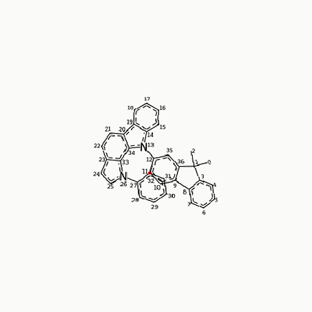 CC1(C)c2ccccc2-c2ccc(-n3c4ccccc4c4ccc5ccn(-c6ccccc6)c5c43)cc21